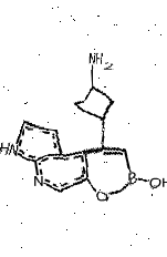 NC1CC(C2=CB(O)Oc3cnc4[nH]ccc4c32)C1